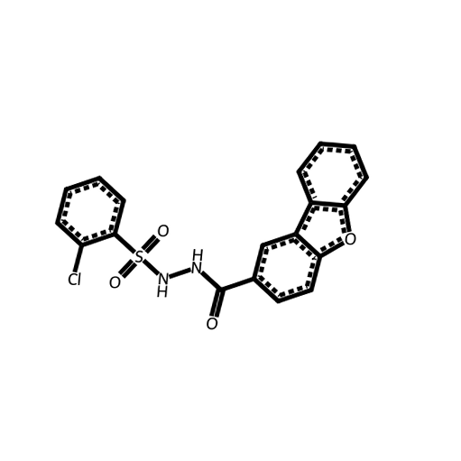 O=C(NNS(=O)(=O)c1ccccc1Cl)c1ccc2oc3ccccc3c2c1